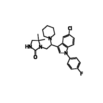 CC1(C)CNC(=O)N1CC(c1cn(-c2ccc(F)cc2)c2ccc(Cl)cc12)N1CCCCC1